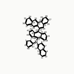 c1ccc(N(c2ccc3ccccc3c2)c2c3ccccc3c(-c3cc4ccccc4c4cc5ccccc5cc34)c3ccccc23)cc1